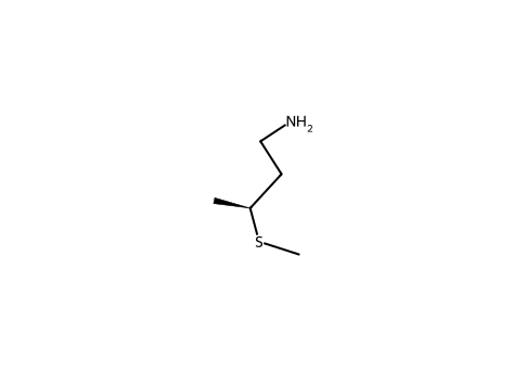 CS[C@@H](C)CCN